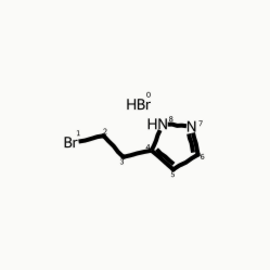 Br.BrCCc1ccn[nH]1